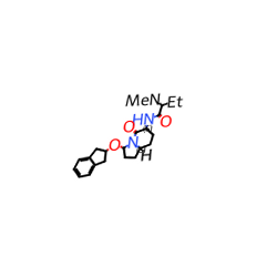 CCC(NC)C(=O)N[C@H]1CC[C@H]2CCC(OC3Cc4ccccc4C3)N2C1=O